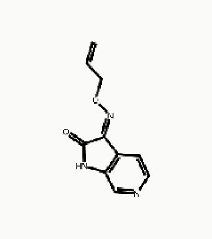 C=CCO/N=C1\C(=O)Nc2cnccc21